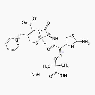 CC(C)(O/N=C(\C(=O)N[C@@H]1C(=O)N2C(C(=O)[O-])=C(C[n+]3ccccc3)CS[C@H]12)c1csc(N)n1)C(=O)O.[NaH]